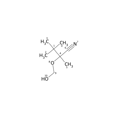 CC(C)(C)C(C)(C#N)OCO